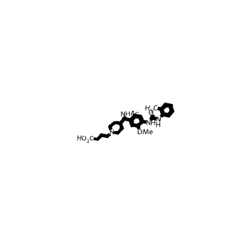 COc1cc(C(NC(C)=O)C2CCN(CCCC(=O)O)CC2)ccc1NC(=O)Nc1ccccc1C